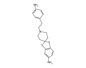 Nc1ccc(CCN2CCC3(CC2)Sc2ccc(N)cc2S3)cc1